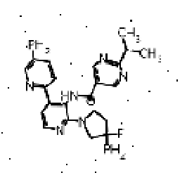 CC(C)c1ncc(C(=O)Nc2c(-c3ccc(P)cn3)ccnc2N2CCC(F)(P)C2)cn1